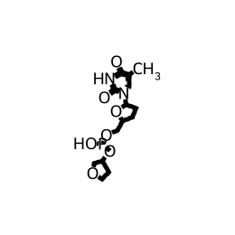 Cc1cn(C2CCC(COP(O)OC3CCOC3)O2)c(=O)[nH]c1=O